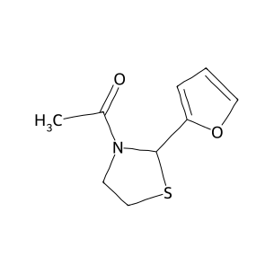 CC(=O)N1CCSC1c1ccco1